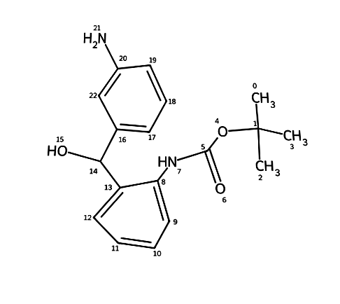 CC(C)(C)OC(=O)Nc1ccccc1C(O)c1cccc(N)c1